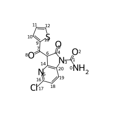 NC(=O)N1C(=O)C(C(=O)c2cccs2)c2nc(Cl)ccc21